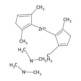 CC1=CCC(C)=[C]1[Zr+2][C]1=C(C)CC=C1C.C[N-]C.C[N-]C